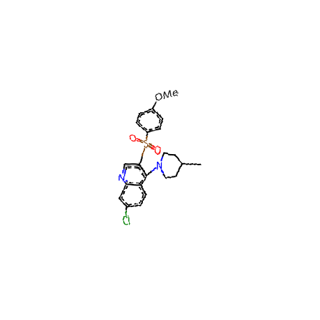 COc1ccc(S(=O)(=O)c2cnc3cc(Cl)ccc3c2N2CCC(C)CC2)cc1